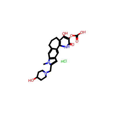 Cl.Cn1c(CN2CCC(O)CC2)cc2cc3c(cc21)CCCc1c-3[nH]c(=O)c(OC(=O)O)c1O